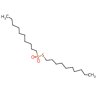 CCCCCCCCCCSS(=O)(=O)CCCCCCCCCC